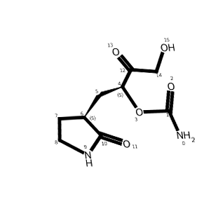 NC(=O)O[C@@H](C[C@@H]1CCNC1=O)C(=O)CO